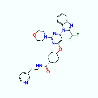 O=C(NCCc1cccnc1)[C@H]1CC[C@H](Oc2cc(-n3c(C(F)F)nc4ccccc43)nc(N3CCOCC3)n2)CC1